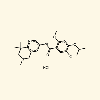 COc1cc(OC(C)C)c(Cl)cc1C(=O)Nc1cnc2c(c1)CN(C)CC2(C)C.Cl